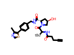 C#CCCC(=O)NC(C(=O)N1C[C@H](O)C[C@H]1C(=O)NCc1ccc(-c2scnc2C)cc1)C(C)(C)C